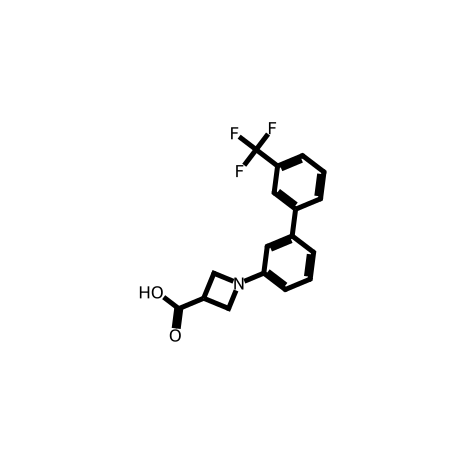 O=C(O)C1CN(c2cccc(-c3cccc(C(F)(F)F)c3)c2)C1